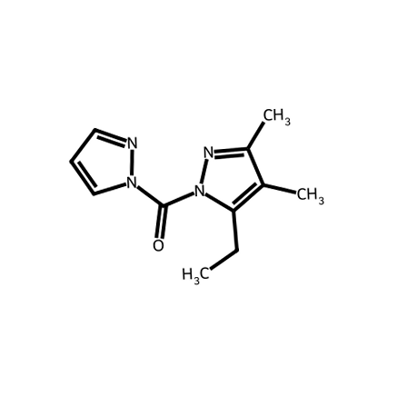 CCc1c(C)c(C)nn1C(=O)n1cccn1